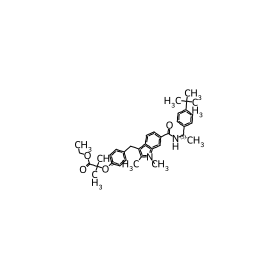 CCOC(=O)C(C)(C)Oc1ccc(Cc2c(C)n(C)c3cc(C(=O)N[C@@H](C)c4ccc(C(C)(C)C)cc4)ccc23)cc1